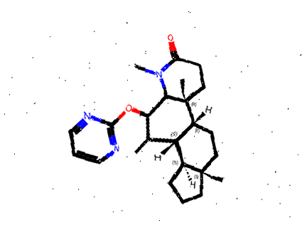 CC1C(Oc2ncccn2)C2N(C)C(=O)CC[C@]2(C)[C@@H]2CC[C@]3(C)CCC[C@H]3[C@H]12